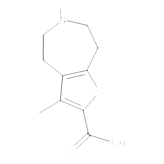 Cc1c(C(=O)C(C)(C)C)sc2c1CCNCC2